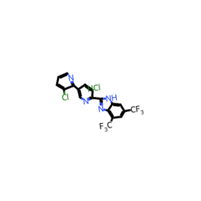 Cl.FC(F)(F)c1cc(C(F)(F)F)c2nc(-c3ccc(-c4ncccc4Cl)cn3)[nH]c2c1